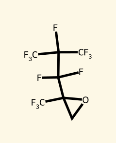 FC(F)(F)C1(C(F)(F)C(F)(C(F)(F)F)C(F)(F)F)CO1